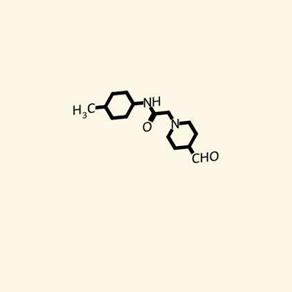 CC1CCC(NC(=O)CN2CCC(C=O)CC2)CC1